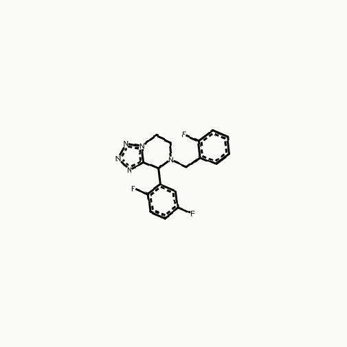 Fc1ccc(F)c(C2c3nnnn3CCN2Cc2ccccc2F)c1